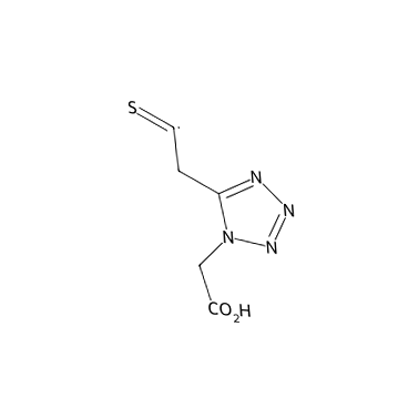 O=C(O)Cn1nnnc1C[C]=S